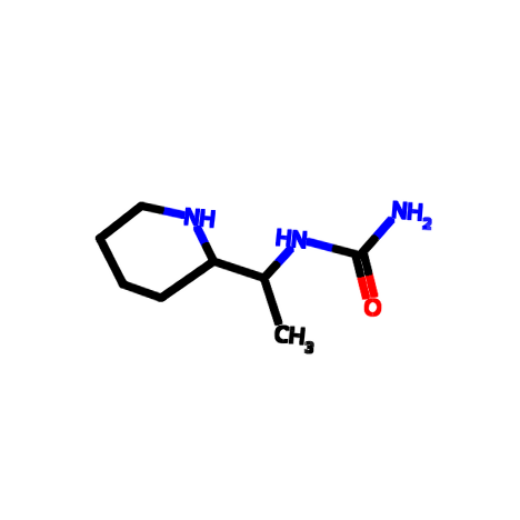 CC(NC(N)=O)C1CCCCN1